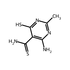 Cc1nc(N)c(C(N)=S)c(S)n1